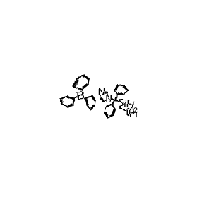 CC(C)C[SiH2]C(c1ccccc1)(c1ccccc1)n1ccnc1.c1ccc(B(c2ccccc2)c2ccccc2)cc1